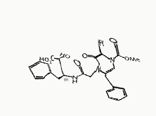 COC(=O)N1C=C(c2ccccc2)N(CC(=O)N[C@@H](Cc2ccccc2)C(O)C(=O)O)C(=O)C1C(C)C